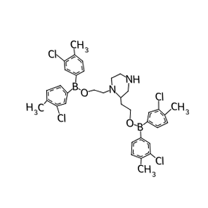 Cc1ccc(B(OCCC2CNCCN2CCOB(c2ccc(C)c(Cl)c2)c2ccc(C)c(Cl)c2)c2ccc(C)c(Cl)c2)cc1Cl